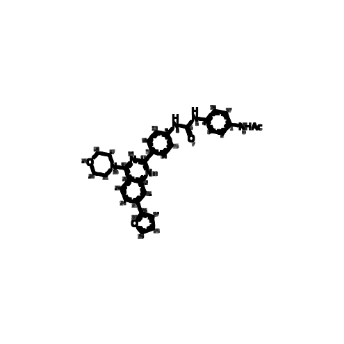 CC(=O)Nc1ccc(NC(=O)Nc2ccc(-c3nc(N4CCOCC4)c4ccc(-c5ccco5)cc4n3)cc2)cc1